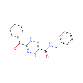 O=C(NCc1ccccc1)C1=NNC(C(=O)N2CCCCC2)=NN1